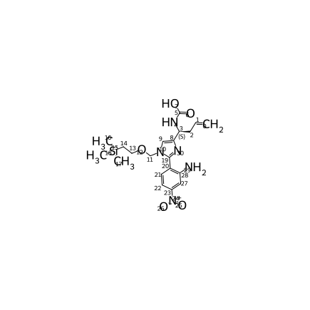 C=CC[C@H](NC(=O)O)c1cn(COCC[Si](C)(C)C)c(-c2ccc([N+](=O)[O-])cc2N)n1